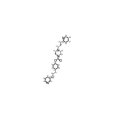 O=C(Oc1ccc(CCOc2cccnc2)cc1)N1CCN(CCCc2ccccn2)CC1